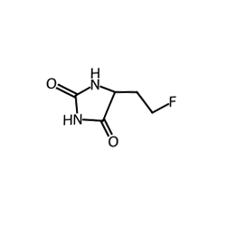 O=C1NC(=O)C(CCF)N1